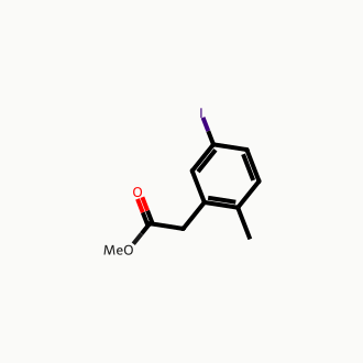 COC(=O)Cc1cc(I)ccc1C